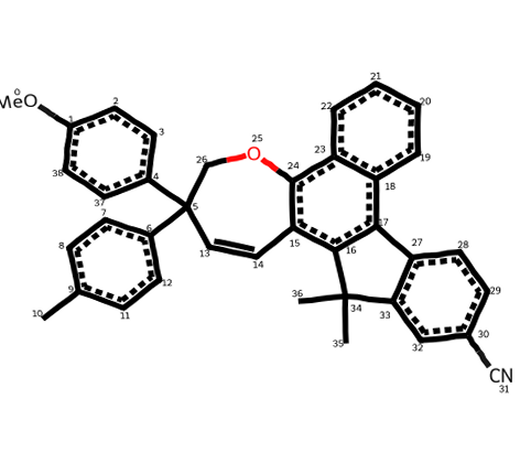 COc1ccc(C2(c3ccc(C)cc3)C=Cc3c4c(c5ccccc5c3OC2)-c2ccc(C#N)cc2C4(C)C)cc1